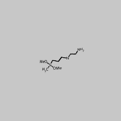 CO[Si](C)(CCC[N]CCN)OC